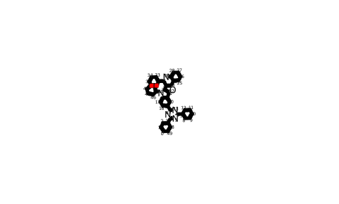 c1ccc(-c2nc(-c3ccccc3)nc(-c3ccc4c(c3)c3oc5c6ccccc6nc(-c6ccccc6)c5c3n4-c3ccccc3)n2)cc1